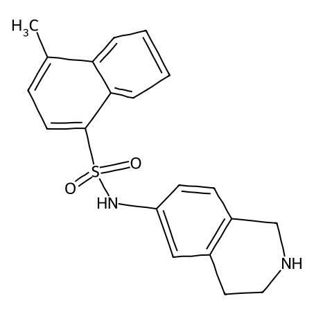 Cc1ccc(S(=O)(=O)Nc2ccc3c(c2)CCNC3)c2ccccc12